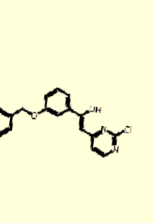 OC(=Cc1ccnc(Cl)n1)c1cccc(OCc2ccccc2)c1